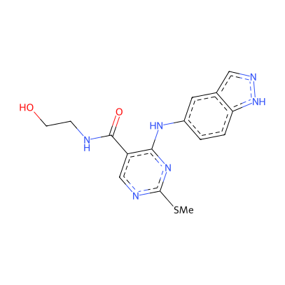 CSc1ncc(C(=O)NCCO)c(Nc2ccc3[nH]ncc3c2)n1